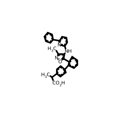 Cc1noc(-c2ccccc2-c2ccc(C(C)C(=O)O)cc2)c1Nc1cccc(-c2ccccc2)n1